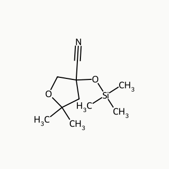 CC1(C)CC(C#N)(O[Si](C)(C)C)CO1